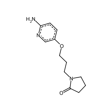 Nc1ccc(OCCCN2CCCC2=O)cn1